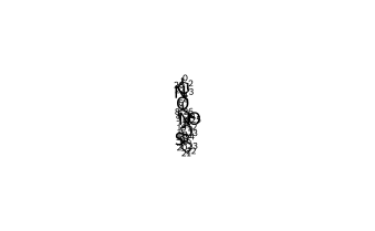 Cc1ccc(COc2ccn(-c3ccc4c5c(sc4c3)CCCC5)c(=O)c2)nc1